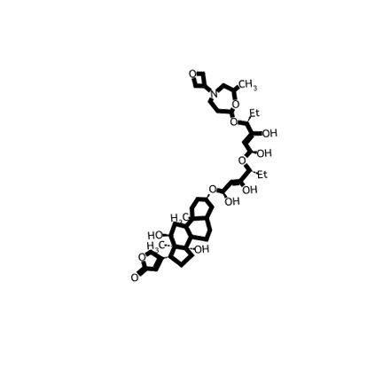 CC[C@@H](OC1CCN(C2COC2)CC(C)O1)/C(O)=C/[C@@H](O)O[C@H](CC)/C(O)=C/[C@@H](O)O[C@H]1CC[C@@]2(C)C(CCC3C2C[C@H](O)[C@]2(C)[C@@H](C4=CC(=O)OC4)CC[C@]32O)C1